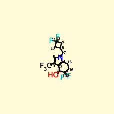 OC1c2c(C(F)(F)F)cn(CC3CC(F)(F)C3)c2CCC1(F)F